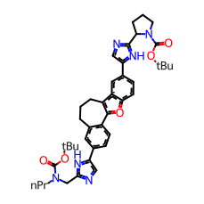 CCCN(Cc1ncc(-c2ccc3c(c2)CCCc2c-3oc3ccc(-c4cnc(C5CCCN5C(=O)OC(C)(C)C)[nH]4)cc23)[nH]1)C(=O)OC(C)(C)C